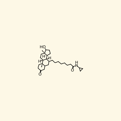 C[C@]12CCC(=O)CC1CC(CCCCCCCC(=O)NC1CC1)[C@@H]1[C@H]2CC[C@]2(C)C(O)CC[C@@H]12